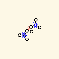 c1ccc(-c2nc(-c3ccccc3)nc(-c3ccc4c(c3)-c3ccccc3-c3cc(-c5nc(-c6ccccc6)nc(-c6ccccc6)n5)ccc3O4)n2)cc1